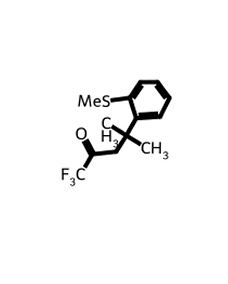 CSc1ccccc1C(C)(C)CC(=O)C(F)(F)F